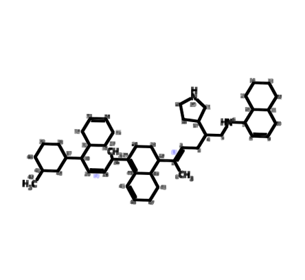 C/C(=C\CC(CNC1C=CCC2CCCCC21)C1CCNC1)C1CCC(C(C)/C=C\C(C2CC=CCC2)C2CCCC(C)C2)=C2C=CCCC21